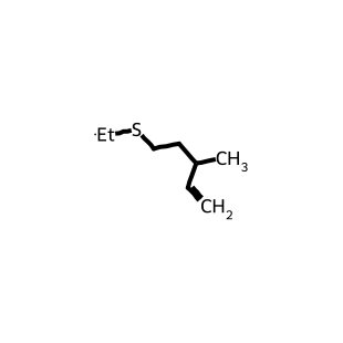 C=CC(C)CCS[CH]C